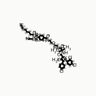 CCC(CC)(NC(=O)c1nn(-c2ccc(Cl)cc2Cl)c(-c2ccc(Cl)cc2)c1C)C(=O)NCCOCCNC(=O)c1ccc(S(=O)(=O)N(CC#N)C(=O)CCCCN=[N+]=[N-])cc1